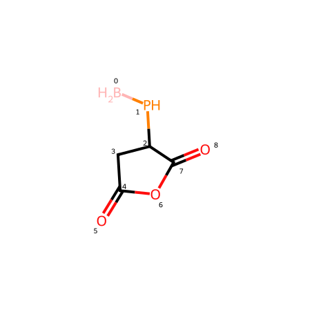 BPC1CC(=O)OC1=O